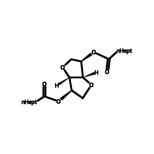 CCCCCCCC(=O)O[C@@H]1CO[C@H]2[C@@H]1OC[C@H]2OC(=O)CCCCCCC